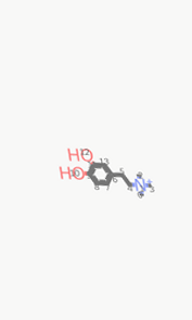 C[N+](C)(C)CCc1ccc(O)c(O)c1